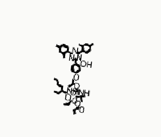 C=CC(=O)OCC(C)(COC(=O)C=C)NC(=O)OC(CNCC(CC)CCCC)COc1ccc(-c2nc(-c3ccc(C)cc3C)nc(-c3ccc(C)cc3C)n2)c(O)c1